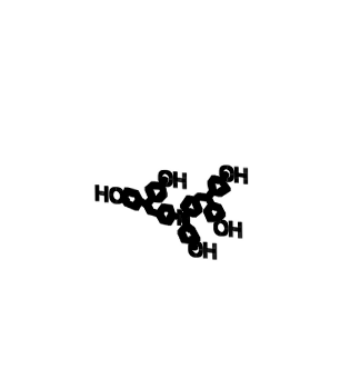 Oc1ccc(C(=Cc2ccc(N(c3ccc(O)cc3)c3ccc(C=C(c4ccc(O)cc4)c4ccc(O)cc4)cc3)cc2)c2ccc(O)cc2)cc1